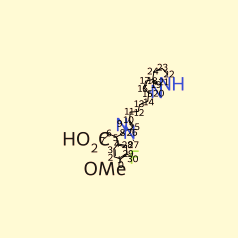 COc1ccc(C(CC(=O)O)c2nc(CCCCc3ccc4c(n3)NCCC4)cn2C)cc1F